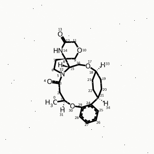 C[C@H]1CC(=O)N2CC[C@@]3(COCC(=O)N3)[C@@H]2CO[C@H]2CC[C@H](CC2)c2ccccc2O1